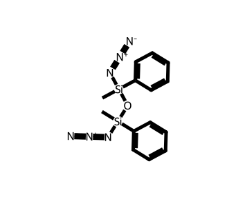 C[Si](N=[N+]=[N-])(O[Si](C)(N=[N+]=[N-])c1ccccc1)c1ccccc1